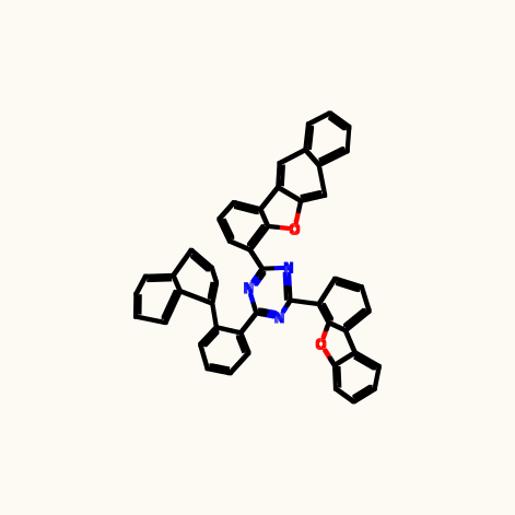 c1ccc(-c2cccc3ccccc23)c(-c2nc(-c3cccc4c3oc3ccccc34)nc(-c3cccc4c3oc3cc5ccccc5cc34)n2)c1